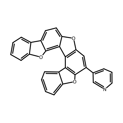 c1cncc(-c2cc3oc4ccc5c6ccccc6oc5c4c3c3c2oc2ccccc23)c1